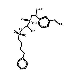 CC(C)C(NS(=O)(=O)CCCCc1ccccc1)P(=O)(O)CC(C(=O)O)c1cccc(CN)c1